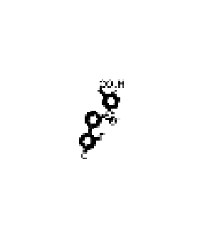 O=C(O)Cc1cccc([S+]([O-])c2cccc(-c3ccc(Cl)cc3F)c2)c1